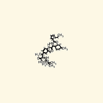 CCn1nccc1C(=O)N[C@H](C(=O)Nc1ccc([C@H](C)[C@@H](NC(=O)OC(C)(C)C)C(=O)O)cc1F)C1CCC(C)CC1